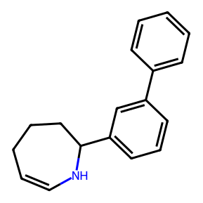 C1=CNC(c2cccc(-c3ccccc3)c2)CCC1